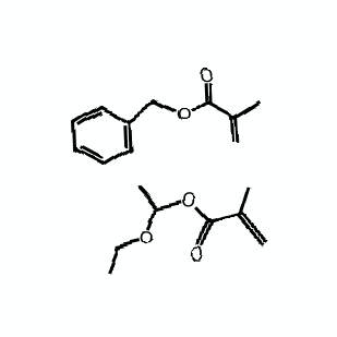 C=C(C)C(=O)OC(C)OCC.C=C(C)C(=O)OCc1ccccc1